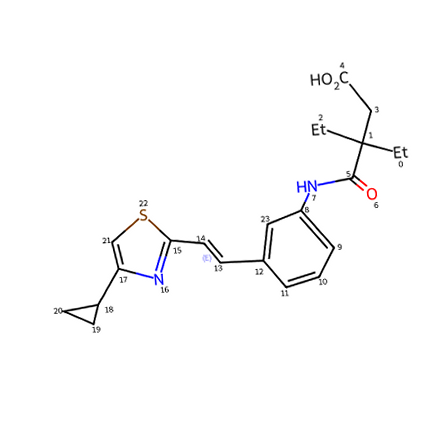 CCC(CC)(CC(=O)O)C(=O)Nc1cccc(/C=C/c2nc(C3CC3)cs2)c1